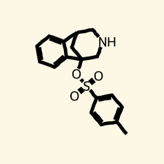 Cc1ccc(S(=O)(=O)OC23CNCC(C2)c2ccccc23)cc1